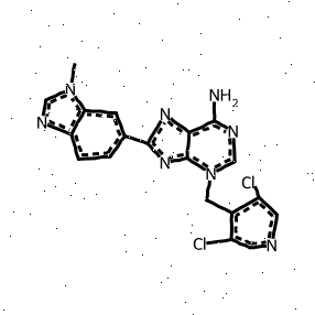 Cn1cnc2ccc(-c3nc4c(N)ncn(Cc5c(Cl)cncc5Cl)c-4n3)cc21